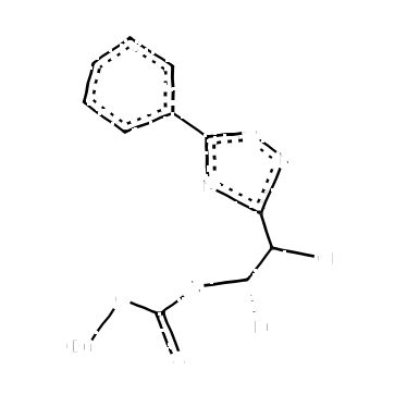 CC[C@H](NC(=O)OC(C)(C)C)C(O)c1noc(-c2ccccc2)n1